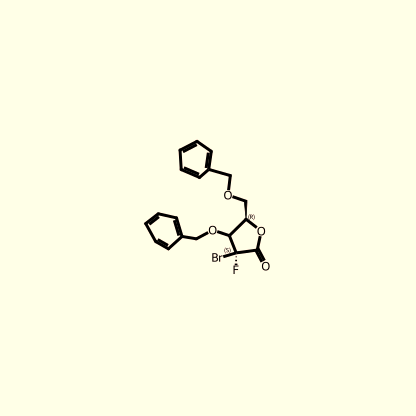 O=C1O[C@H](COCc2ccccc2)C(OCc2ccccc2)[C@]1(F)Br